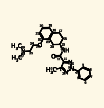 Cc1nn(-c2ccccc2)nc1C(=O)N[C@@H]1CCc2cccc(OCCN(C)C)c2C1